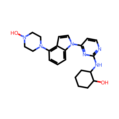 OC1CCCCC1Nc1nccc(-n2ccc3c(N4CCN(O)CC4)cccc32)n1